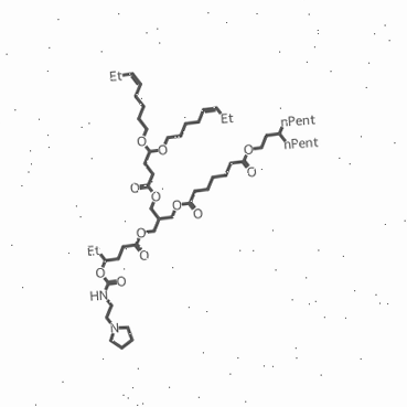 CC/C=C\CCCCOC(CCC(=O)OCC(COC(=O)CCCCCC(=O)OCCC(CCCCC)CCCCC)COC(=O)CCC(CC)OC(=O)NCCN1CCCC1)OCCCC/C=C\CC